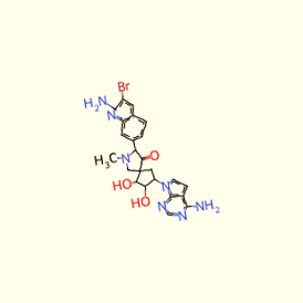 CN1CC2(CC(n3ccc4c(N)ncnc43)C(O)C2O)C(=O)C1c1ccc2cc(Br)c(N)nc2c1